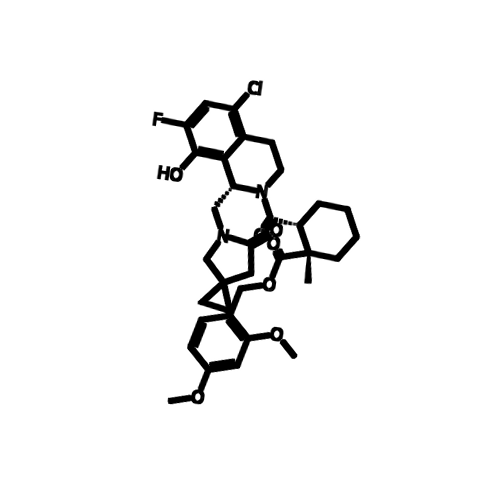 COc1ccc(COC(=O)[C@@]2(C)CCCC[C@H]2C(=O)N2CCc3c(Cl)cc(F)c(O)c3[C@H]2CN2CC3(CC3)CC2=O)c(OC)c1